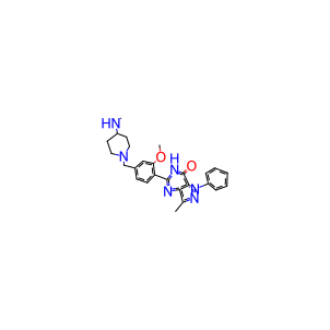 CNC1CCN(Cc2ccc(-c3nc4c(C)nn(-c5ccccc5)c4c(=O)[nH]3)c(OC)c2)CC1